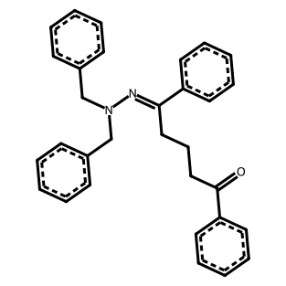 O=C(CCCC(=NN(Cc1ccccc1)Cc1ccccc1)c1ccccc1)c1ccccc1